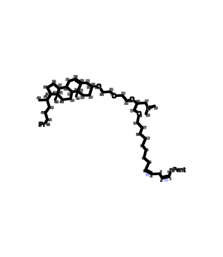 CCCCC/C=C\C/C=C\CCCCCCCCOCC(CN(C)C)OCCOCCO[C@H]1CC[C@@]2(C)C(=CCC3C4CCC(C(C)CCCC(C)C)[C@@]4(C)CCC32)C1